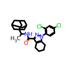 CC(NC(=O)c1nn(-c2ccc(Cl)cc2Cl)c2c1CCCC2)C12CC3CC(CC(C3)C1)C2